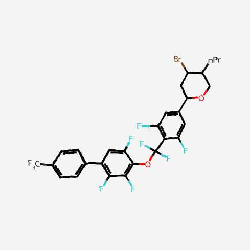 CCCC1COC(c2cc(F)c(C(F)(F)Oc3c(F)cc(-c4ccc(C(F)(F)F)cc4)c(F)c3F)c(F)c2)CC1Br